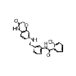 O=C1COc2cc(NCc3cccc(NC(=O)c4ccccc4Cl)c3)ccc2N1